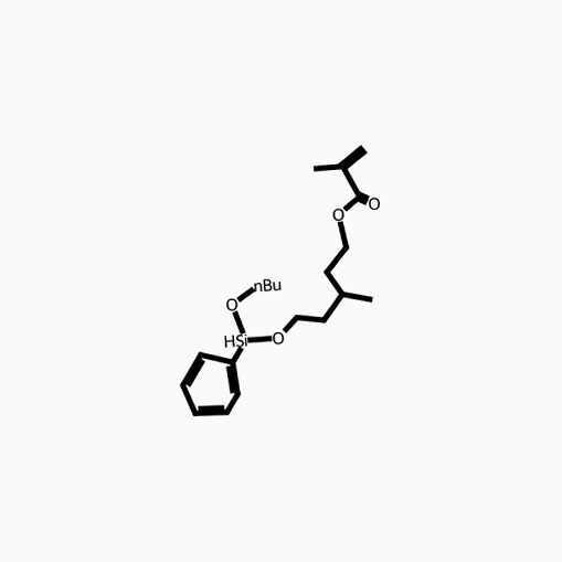 C=C(C)C(=O)OCCC(C)CCO[SiH](OCCCC)c1ccccc1